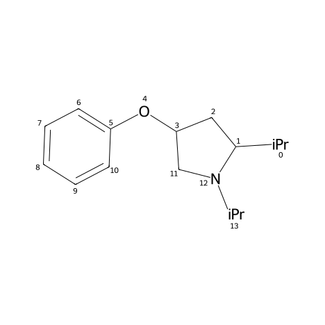 CC(C)C1CC(Oc2ccccc2)CN1C(C)C